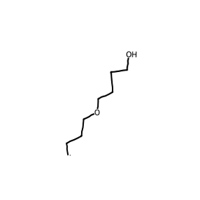 [CH2]CCCOCCCCO